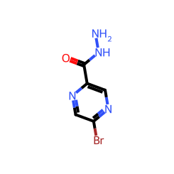 NNC(=O)c1cnc(Br)cn1